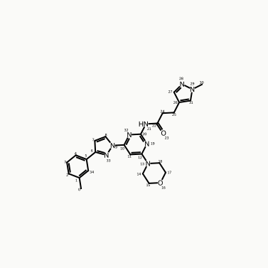 Cc1cccc(-c2ccn(-c3cc(N4CCOCC4)nc(NC(=O)CCc4cnn(C)c4)n3)n2)c1